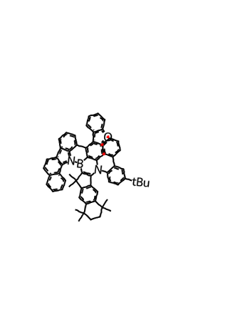 CC(C)(C)c1ccc(N2C3=C(B4c5c2cc2oc6ccccc6c2c5-c2cccc5c6ccc7ccccc7c6n4c25)C(C)(C)c2cc4c(cc23)C(C)(C)CCC4(C)C)c(-c2ccccc2)c1